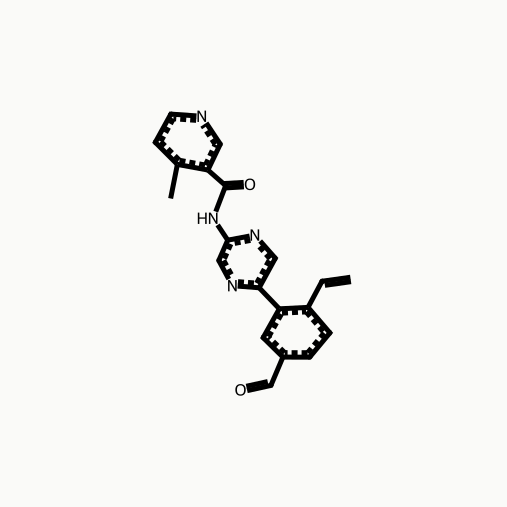 C=Cc1ccc(C=O)cc1-c1cnc(NC(=O)c2cnccc2C)cn1